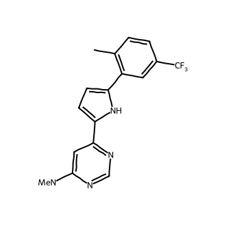 CNc1cc(-c2ccc(-c3cc(C(F)(F)F)ccc3C)[nH]2)ncn1